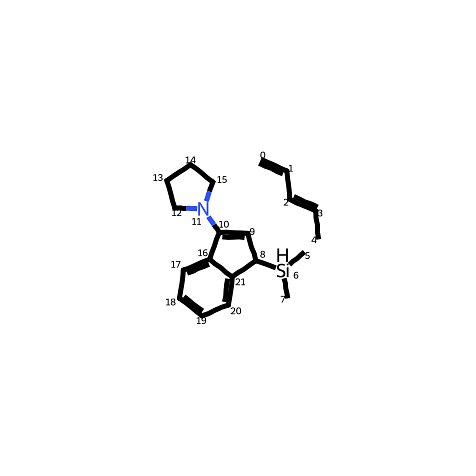 C=CC=CC.C[SiH](C)C1C=C(N2CCCC2)c2ccccc21